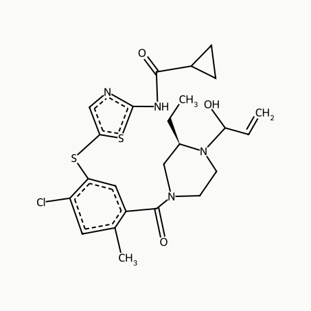 C=CC(O)N1CCN(C(=O)c2cc(Sc3cnc(NC(=O)C4CC4)s3)c(Cl)cc2C)C[C@H]1CC